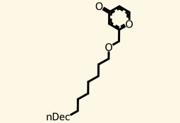 CCCCCCCCCCCCCCCCCOCc1cc(=O)cco1